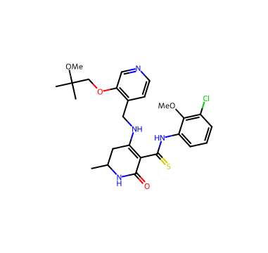 COc1c(Cl)cccc1NC(=S)C1=C(NCc2ccncc2OCC(C)(C)OC)CC(C)NC1=O